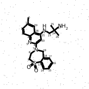 Cc1ccc2nc(N3CCS(=O)(=O)c4ccccc4C3)cc(NCC(C)(C)N)c2c1